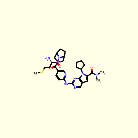 CSCC[C@@H](N)C(=O)N1C2CCC1CN(C(=O)c1ccc(Nc3ncc4cc(C(=O)N(C)C)n(C5CCCC5)c4n3)nc1)C2